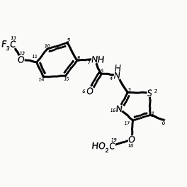 Cc1sc(NC(=O)Nc2ccc(OC(F)(F)F)cc2)nc1OC(=O)O